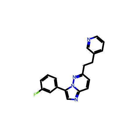 Fc1cccc(-c2cnc3ccc([CH]Cc4cccnc4)nn23)c1